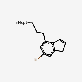 CCCCCCCCCCc1cc(Br)cc2c1C=CC2